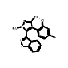 Cc1nn(C)c(-c2noc3ccccc23)c1-c1ccc(F)cc1Cl